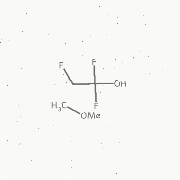 COC.OC(F)(F)CF